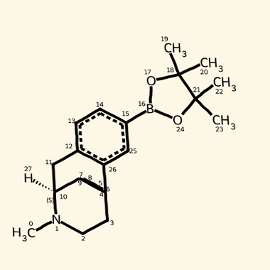 CN1CCC23CCCCC2[C@@H]1Cc1ccc(B2OC(C)(C)C(C)(C)O2)cc13